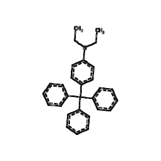 CCN(CC)c1ccc(C(c2ccccc2)(c2ccccc2)c2ccccc2)cc1